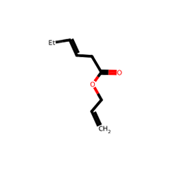 C=CCOC(=O)CC=CCC